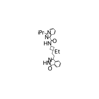 CC[C@]1(CCc2n[nH]c(=O)c3ccccc23)C[C@H](NC(=O)c2nc(C(C)C)n3ccccc23)C1